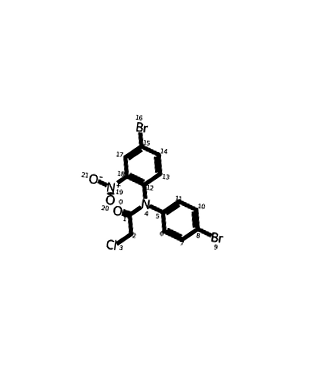 O=C(CCl)N(c1ccc(Br)cc1)c1ccc(Br)cc1[N+](=O)[O-]